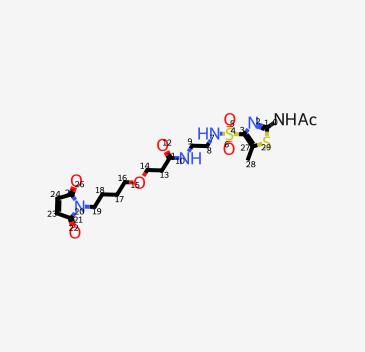 CC(=O)Nc1nc(S(=O)(=O)NCCNC(=O)CCOCCCCN2C(=O)C=CC2=O)c(C)s1